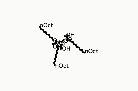 CCCCCCCC/C=C\CCCCCCCCOC(OCC(COC(OCCCCCCCC/C=C\CCCCCCCC)C(C)O)OC(OCCCCCCCC/C=C\CCCCCCCC)C(C)O)C(C)O